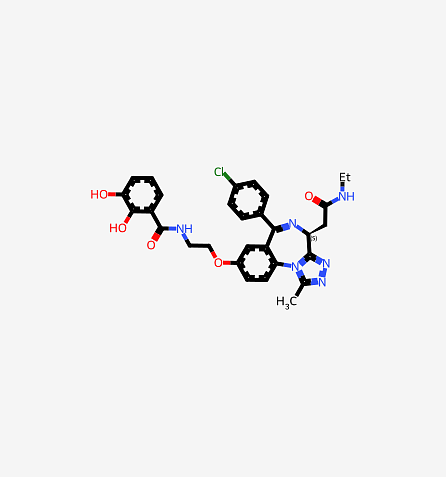 CCNC(=O)C[C@@H]1N=C(c2ccc(Cl)cc2)c2cc(OCCNC(=O)c3cccc(O)c3O)ccc2-n2c(C)nnc21